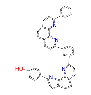 Oc1ccc(-c2ccc3ccc4ccc(-c5cccc(-c6ccc7ccc8ccc(-c9ccccc9)nc8c7n6)c5)nc4c3n2)cc1